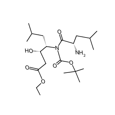 CCOC(=O)C[C@H](O)[C@H](CC(C)C)N(C(=O)OC(C)(C)C)C(=O)[C@@H](N)CC(C)C